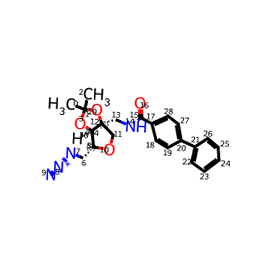 CC1(C)O[C@@H]2[C@@H](CN=[N+]=[N-])OC[C@]2(CNC(=O)c2ccc(-c3ccccc3)cc2)O1